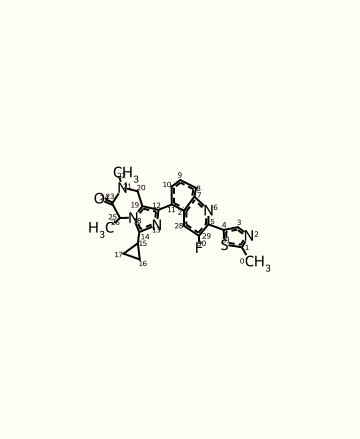 Cc1ncc(-c2nc3cccc(-c4nc(C5CC5)n5c4CN(C)C(=O)C5C)c3cc2F)s1